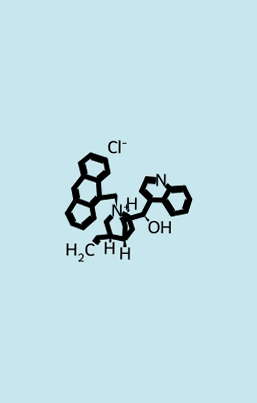 C=C[C@H]1C[N@+]2(Cc3c4ccccc4cc4ccccc34)CC[C@H]1C[C@@H]2[C@@H](O)c1ccnc2ccccc12.[Cl-]